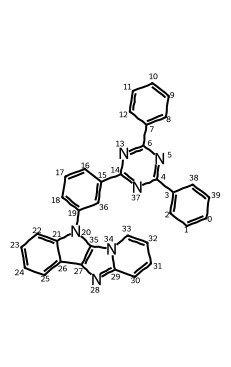 c1ccc(-c2nc(-c3ccccc3)nc(-c3cccc(-n4c5ccccc5c5nc6ccccn6c54)c3)n2)cc1